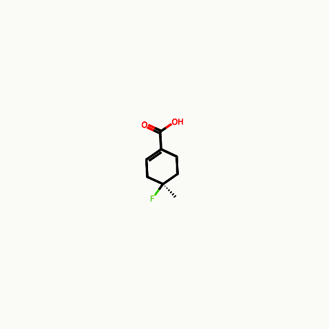 C[C@]1(F)CC=C(C(=O)O)CC1